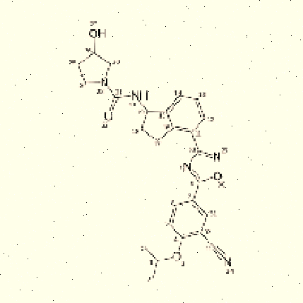 CC(C)Oc1ccc(-c2nc(-c3cccc4c3CCC4NC(=O)N3CCC(O)C3)no2)cc1C#N